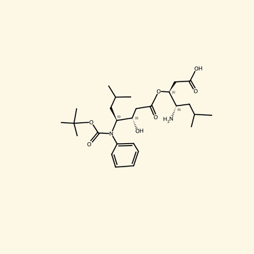 CC(C)C[C@H](N)[C@H](CC(=O)O)OC(=O)C[C@H](O)[C@H](CC(C)C)N(C(=O)OC(C)(C)C)c1ccccc1